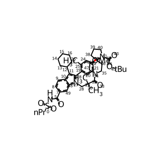 CCCS(=O)(=O)NC(=O)c1ccc2c(C3CCCCC3)c(-c3ccc(OC)cc3C)n(CC(C)(C)C(=O)N3CCC4(CCCN4C(=O)OC(C)(C)C)CC3)c2c1